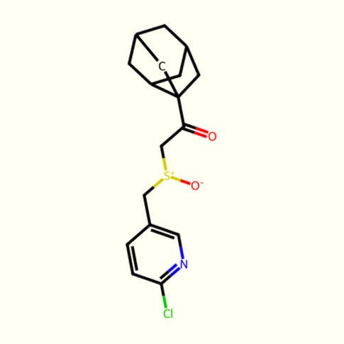 O=C(C[S+]([O-])Cc1ccc(Cl)nc1)C12CC3CC(CC1C3)C2